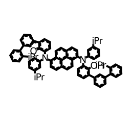 CC(C)c1cccc(N(c2cccc(-c3cccc(-c4ccccc4C(C)C)c3)c2O)c2ccc3ccc4c(N(c5cccc(C(C)C)c5)c5cccc6c5oc5c(-c7ccccc7C(C)C)cccc56)ccc5ccc2c3c54)c1